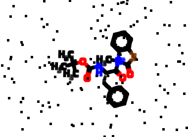 CC(C)(C)OC(=O)N[C@@H](Cc1ccccc1)C(=O)[N+]1(C)C(=O)Sc2ccccc21